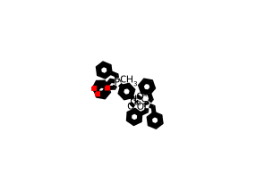 CP(Cc1ccccc1)(Cc1ccccc1)(Cc1ccccc1)OS(=O)(=O)c1ccc(P(C)(Cc2ccccc2)(Cc2ccccc2)Cc2ccccc2)cc1